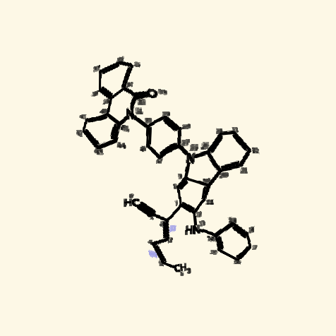 C#C/C(=C\C=C/C)c1cc2c(cc1Nc1ccccc1)c1ccccc1n2-c1ccc(-n2c(=O)c3ccccc3c3ccccc32)cc1